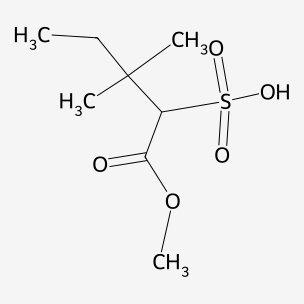 CCC(C)(C)C(C(=O)OC)S(=O)(=O)O